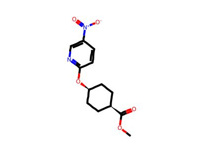 COC(=O)[C@H]1CC[C@@H](Oc2ccc([N+](=O)[O-])cn2)CC1